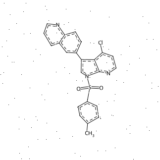 Cc1ccc(S(=O)(=O)n2cc(-c3ccc4ncccc4c3)c3c(Cl)ccnc32)cc1